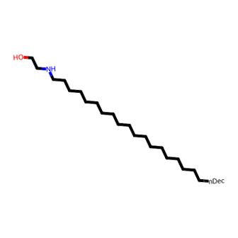 CCCCCCCCCCCCCCCCCCCCCCCCCCCCCNCCO